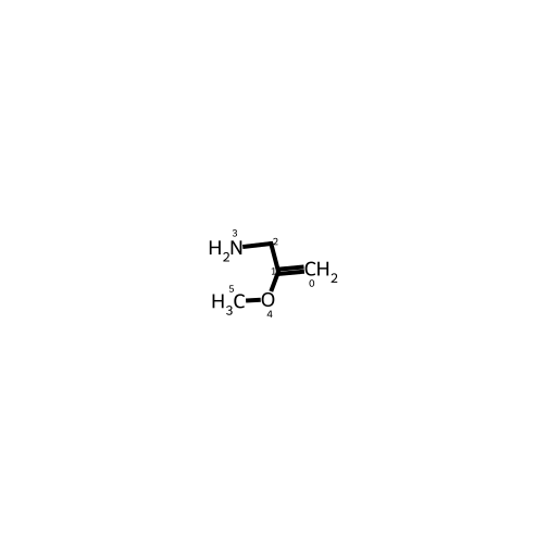 C=C(CN)OC